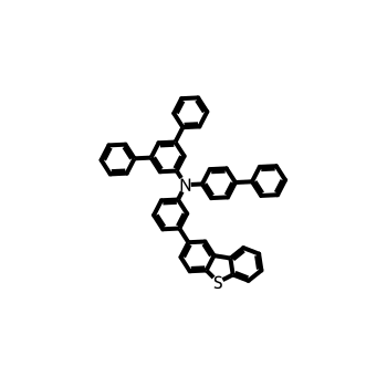 c1ccc(-c2ccc(N(c3cccc(-c4ccc5sc6ccccc6c5c4)c3)c3cc(-c4ccccc4)cc(-c4ccccc4)c3)cc2)cc1